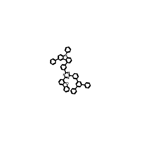 C1=CC(c2cc(-c3ccccc3)cc(-c3ccccc3)c2)=CC(c2nc(-c3cccc(-c4cccc5c4c4cc(-c6ccccc6)ccc4n5-c4ccccc4)c3)nc(-c3cccc4c3oc3ccccc34)n2)C1